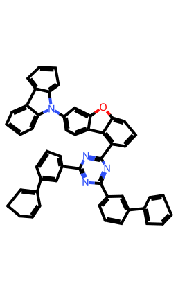 C1=CC(c2cccc(-c3nc(-c4cccc(-c5ccccc5)c4)nc(-c4cccc5oc6cc(-n7c8ccccc8c8ccccc87)ccc6c45)n3)c2)=CCC1